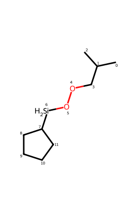 CC(C)COO[SiH2]C1CCCC1